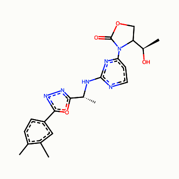 Cc1ccc(-c2nnc([C@@H](C)Nc3nccc(N4C(=O)OCC4[C@@H](C)O)n3)o2)cc1C